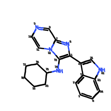 c1ccc2c(-c3nc4cnccn4c3NC3CCCCC3)c[nH]c2c1